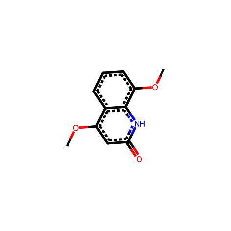 COc1cc(=O)[nH]c2c(OC)cccc12